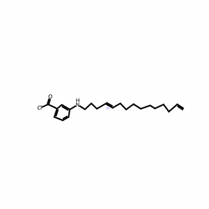 C=CCCCCCCCC/C=C/CCCNc1cccc(C(=O)Cl)c1